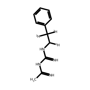 [2H]C(NC(=N)NC(C)=N)C([2H])([2H])c1ccccc1